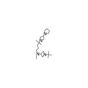 CCN(CCCC(C)(C)N1CC(N2CCCC2)C1)C1CN(C(C)(C)C)C1